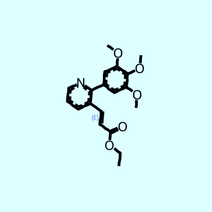 CCOC(=O)/C=C/c1cccnc1-c1cc(OC)c(OC)c(OC)c1